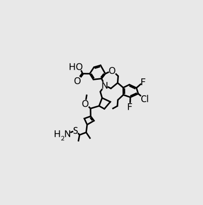 CCCc1c(C2COc3ccc(C(=O)O)cc3N(CC3CCC3C(OC)C3=CC(C(C)C(C)SN)C3)C2)cc(F)c(Cl)c1F